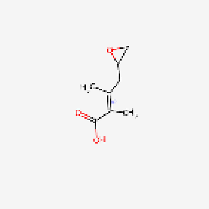 C/C(CC1CO1)=C(/C)C(=O)O